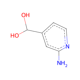 Nc1cc(C(O)O)ccn1